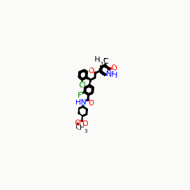 COC(=O)C1CCC(NC(=O)c2ccc(C(CC(=O)c3c[nH]c(=O)c(C)c3)c3ccccc3Cl)cc2F)CC1